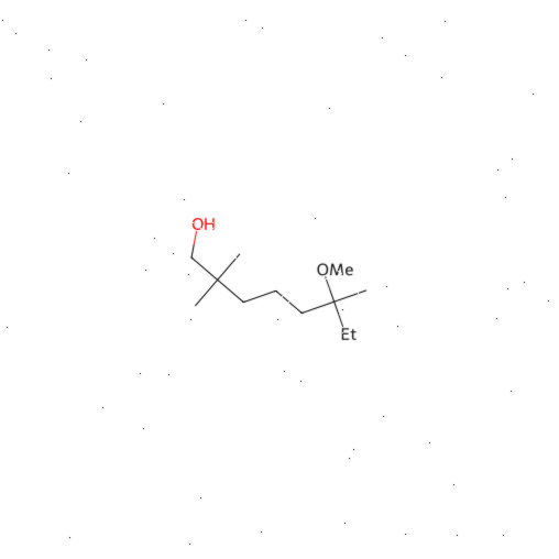 CCC(C)(CCCC(C)(C)CO)OC